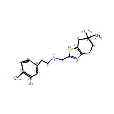 CC1(C)CCc2nc(CNCCc3ccc(Cl)c(Cl)c3)sc2C1